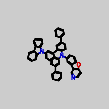 c1ccc(-c2cccc(N(c3ccc4oc5ccncc5c4c3)c3ccc(-c4ccccc4)cc3-c3cccc(-n4c5ccccc5c5ccccc54)c3)c2)cc1